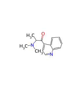 CC(C(=O)c1ccnc2ccccc12)N(C)C